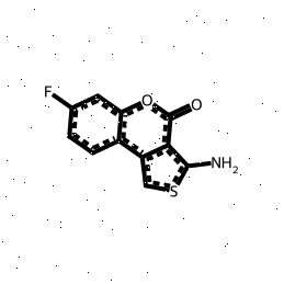 Nc1scc2c1c(=O)oc1cc(F)ccc12